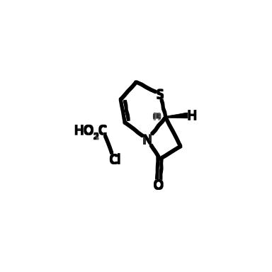 O=C(O)Cl.O=C1C[C@H]2SCC=CN12